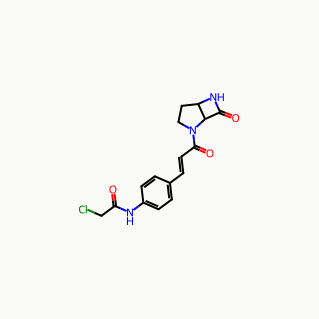 O=C(CCl)Nc1ccc(C=CC(=O)N2CCC3NC(=O)C32)cc1